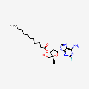 C#C[C@]1(CO)O[C@@H](n2cnc3c(N)nc(F)nc32)C[C@H]1OC(=O)CCCCCCCCCCCCCCCCCCC